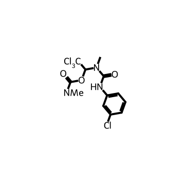 CNC(=O)OC(N(C)C(=O)Nc1cccc(Cl)c1)C(Cl)(Cl)Cl